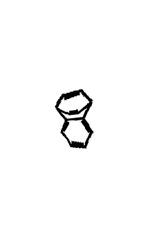 C1=CC2C=CC1c1ccccc12